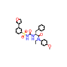 CCN(C(=O)[C@H](Cc1ccccc1)NC(=O)NS(=O)(=O)c1cccc(-c2ccoc2)c1)c1ccc(OC)cc1